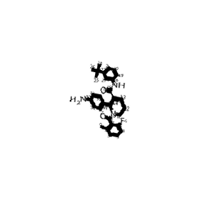 Cc1cccc(F)c1C(=O)N1CCC[C@H](C(=O)Nc2cccc(C(C)(C)C)c2)C1c1ccc(N)cc1